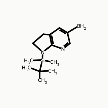 Bc1cnc2c(c1)CCN2[Si](C)(C)C(C)(C)C